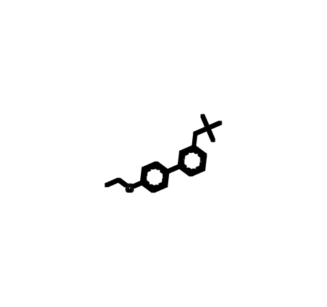 CCOc1ccc(-c2cccc(CC(C)(C)C)c2)cc1